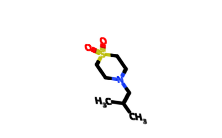 CC(C)CN1CCS(=O)(=O)CC1